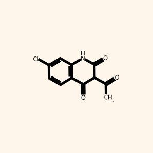 CC(=O)C1C(=O)Nc2cc(Cl)ccc2C1=O